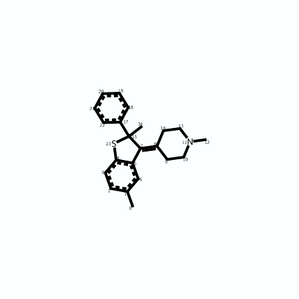 Cc1ccc2c(c1)C(=C1CCN(C)CC1)C(C)(c1ccccc1)S2